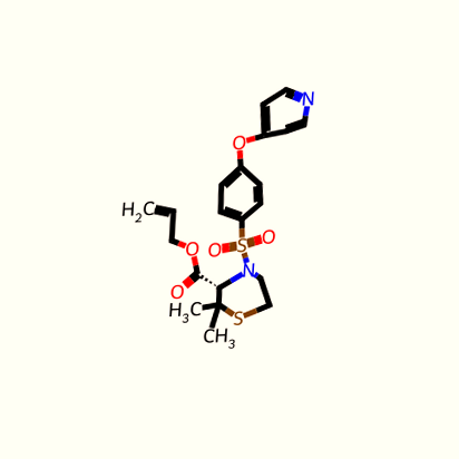 C=CCOC(=O)[C@@H]1N(S(=O)(=O)c2ccc(Oc3ccncc3)cc2)CCSC1(C)C